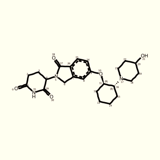 O=C1CCC(N2Cc3cc(O[C@@H]4CCCC[C@H]4N4CCC(O)CC4)ccc3C2=O)C(=O)N1